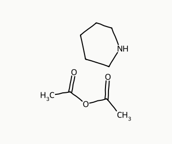 C1CCNCC1.CC(=O)OC(C)=O